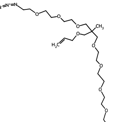 C=CCOCC(C)(COCCOCCOCCN=[N+]=[N-])COCCOCCOCCOCOC